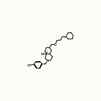 Clc1ccc(CN2CCN3CC(COCCCN4CCCCC4)CC[C@H]3C2)cc1